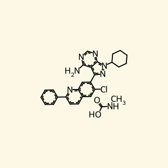 CNC(=O)O.Nc1ncnc2c1c(-c1cc3nc(-c4ccccc4)ccc3cc1Cl)nn2C1CCCCC1